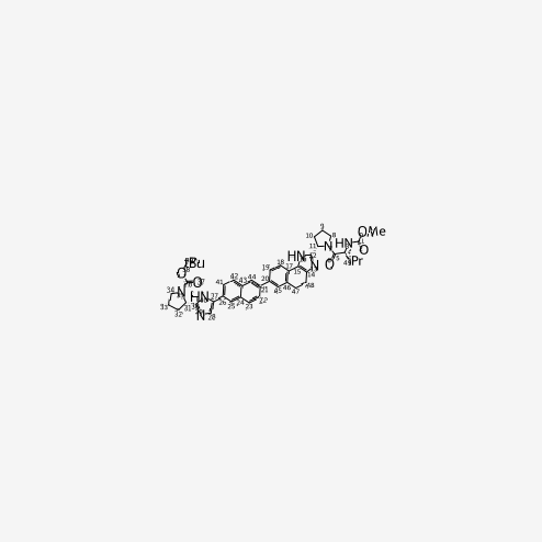 COC(=O)N[C@H](C(=O)N1CCC[C@H]1c1nc2c([nH]1)-c1ccc(-c3ccc4cc(-c5cnc([C@@H]6CCCN6C(=O)OC(C)(C)C)[nH]5)ccc4c3)cc1CC2)C(C)C